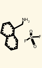 NCc1cccc2ccccc12.O=S(=O)(F)F